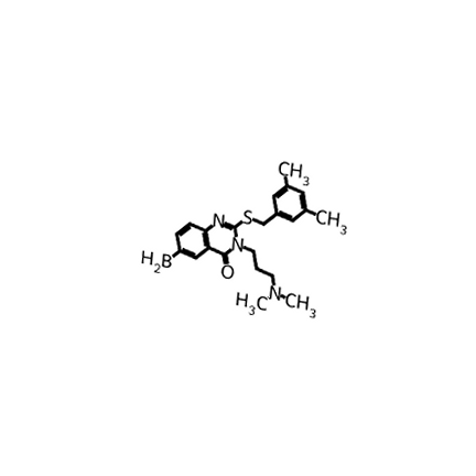 Bc1ccc2nc(SCc3cc(C)cc(C)c3)n(CCCN(C)C)c(=O)c2c1